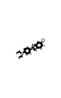 CCN(CC)c1ccc(-n2nc3ccc(Cl)cc3n2)cc1